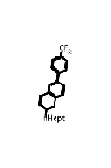 CCCCCCCC1CCc2cc(-c3ccc(C(F)(F)F)cc3)ccc2C1